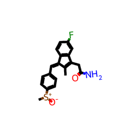 CC1=C(CC(N)=O)c2cc(F)ccc2C1=Cc1ccc([S+](C)[O-])cc1